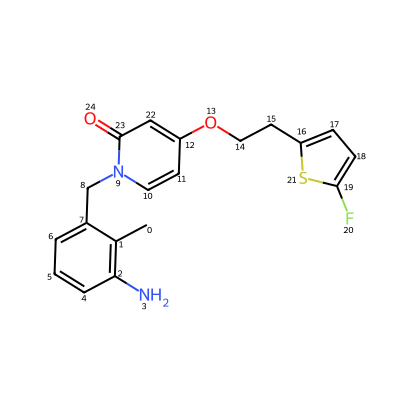 Cc1c(N)cccc1Cn1ccc(OCCc2ccc(F)s2)cc1=O